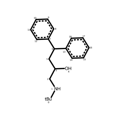 CC(C)(C)NCC(O)CC(c1ccccc1)c1ccccc1